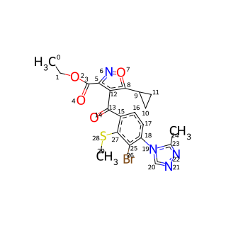 CCOC(=O)c1noc(C2CC2)c1C(=O)c1ccc(-n2cnnc2C)c(Br)c1SC